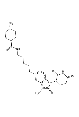 Cn1c(=O)n(C2CCC(=O)NC2=O)c2ccc(CCCCCNC(=O)[C@@H]3CC[C@@H](N)CO3)cc21